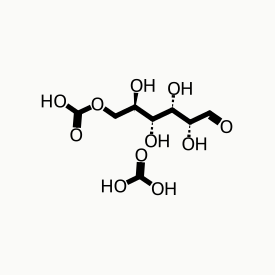 O=C(O)O.O=C[C@H](O)[C@@H](O)[C@H](O)[C@H](O)COC(=O)O